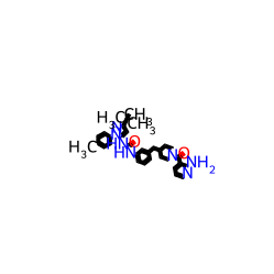 Cc1ccc(-n2nc(C(C)(C)C)cc2NC(=O)Nc2cccc(CC3CCN(C(=O)c4cccnc4N)CC3)c2)cc1